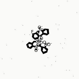 O=[N+]([O-])c1ccccc1CO[Si](OCc1ccccc1[N+](=O)[O-])(OCc1ccccc1[N+](=O)[O-])c1ccc(F)cc1